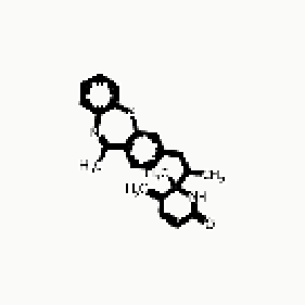 C=C1C=CC(=O)NC1(C)C(C)Cc1ccc2c(c1)Sc1ccccc1N=C2C